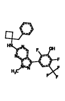 Cn1nc(-c2cc(C(F)(F)F)c(F)c(O)c2F)c2cnc(NC3(Cc4ccccc4)CCC3)nc21